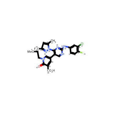 COCCn1cc(-c2cnc(Nc3ccc(F)c(Cl)c3)nc2-n2nc(C(F)(F)F)cc2C)cc(C(=O)O)c1=O